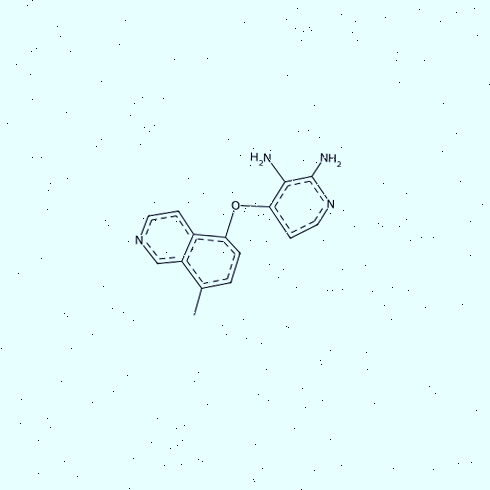 Cc1ccc(Oc2ccnc(N)c2N)c2ccncc12